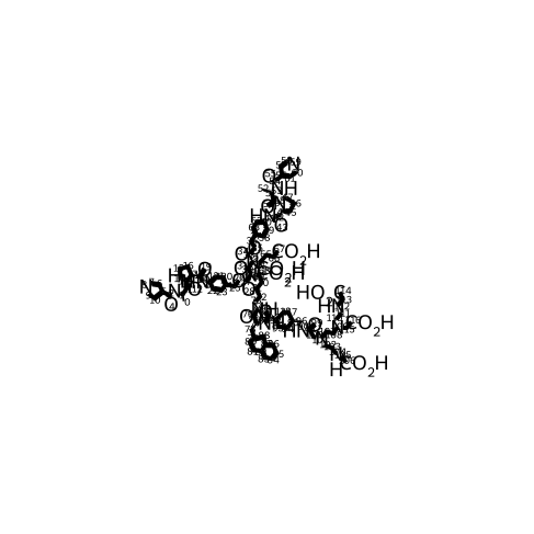 C[C@@H](NC(=O)c1ccncc1)C(=O)N1CCC[C@H]1C(=O)Nc1ccc(COC(=O)N(C(=O)N(C(=O)OCc2ccc(NC(=O)[C@@H]3CCCN3C(=O)[C@@H](C)NC(=O)c3ccncc3)cc2)[C@@H](CCC(=O)O)C(=O)O)[C@@H](CCCCNC(=O)[C@H](Cc2ccc3ccccc3c2)NC(=O)[C@H]2CC[C@H](CNC(=O)CN(CCNCC(=O)O)CCN(CCNCC(=O)O)CC(=O)O)CC2)C(=O)O)cc1